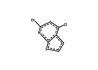 CCc1cc(Cl)c2ccsc2n1